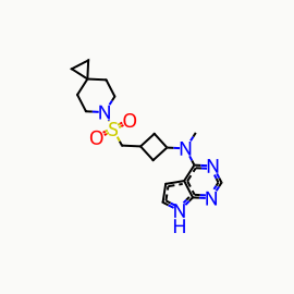 CN(c1ncnc2[nH]ccc12)C1CC(CS(=O)(=O)N2CCC3(CC2)CC3)C1